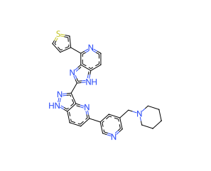 c1cc2[nH]c(-c3n[nH]c4ccc(-c5cncc(CN6CCCCC6)c5)nc34)nc2c(-c2ccsc2)n1